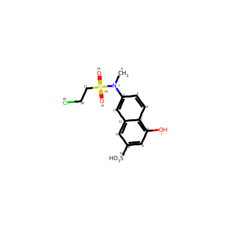 CN(c1ccc2c(O)cc(S(=O)(=O)O)cc2c1)S(=O)(=O)CCCl